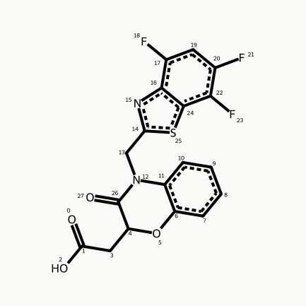 O=C(O)CC1Oc2ccccc2N(Cc2nc3c(F)cc(F)c(F)c3s2)C1=O